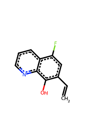 C=Cc1cc(F)c2cccnc2c1O